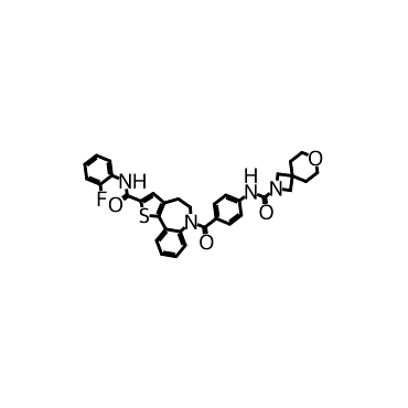 O=C(Nc1ccccc1F)c1cc2c(s1)-c1ccccc1N(C(=O)c1ccc(NC(=O)N3CC4(CCOCC4)C3)cc1)CC2